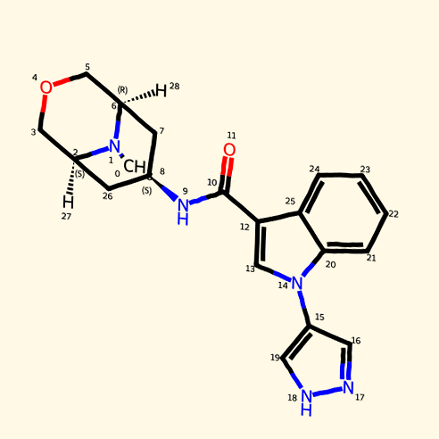 CN1[C@@H]2COC[C@H]1C[C@@H](NC(=O)c1cn(-c3cn[nH]c3)c3ccccc13)C2